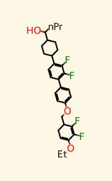 CCCC(O)C1CCC(c2ccc(-c3ccc(OCC4CC=C(OCC)C(F)=C4F)cc3)c(F)c2F)CC1